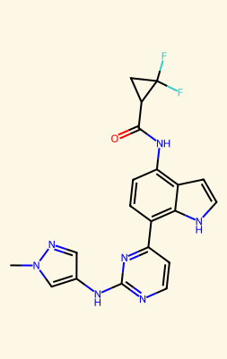 Cn1cc(Nc2nccc(-c3ccc(NC(=O)C4CC4(F)F)c4cc[nH]c34)n2)cn1